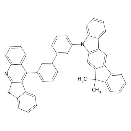 CC1(C)c2ccccc2-c2cc3c4ccccc4n(-c4cccc(-c5cccc(-c6c7ccccc7nc7sc8ccccc8c67)c5)c4)c3cc21